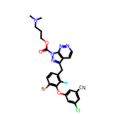 CN(C)CCCOC(=O)n1nc(Cc2ccc(Br)c(Oc3cc(Cl)cc(C#N)c3)c2F)c2ccnnc21